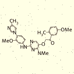 CNc1nc(Nc2ccc(-n3cnc(C)c3)c(OC)c2)ncc1OCC(=O)c1cc(OC)ccc1C